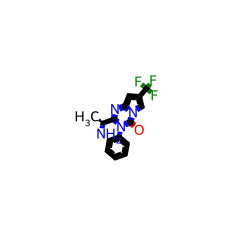 C[C@H](N)c1nc2cc(C(F)(F)F)cn2c(=O)n1-c1ccccc1